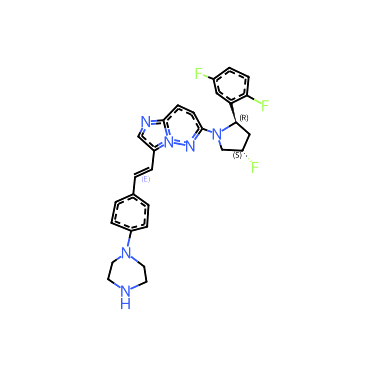 Fc1ccc(F)c([C@H]2C[C@H](F)CN2c2ccc3ncc(/C=C/c4ccc(N5CCNCC5)cc4)n3n2)c1